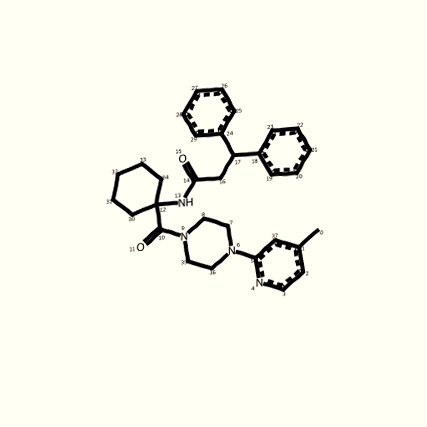 Cc1ccnc(N2CCN(C(=O)C3(NC(=O)CC(c4ccccc4)c4ccccc4)CCCCC3)CC2)c1